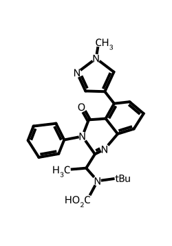 CC(c1nc2cccc(-c3cnn(C)c3)c2c(=O)n1-c1ccccc1)N(C(=O)O)C(C)(C)C